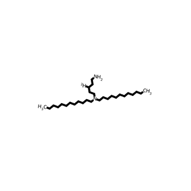 [2H]C(CCN)CCN(CCCCCCCCCCCC)CCCCCCCCCCCC